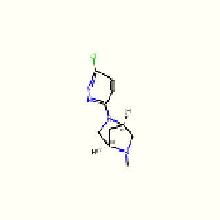 CN1C[C@H]2C[C@@H]1CN2c1ccc(Cl)nn1